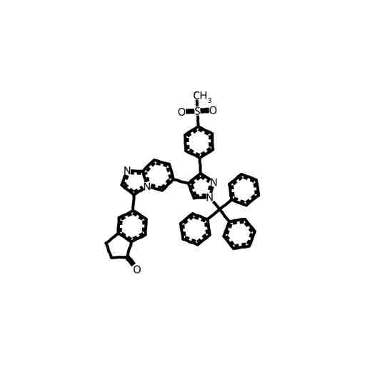 CS(=O)(=O)c1ccc(-c2nn(C(c3ccccc3)(c3ccccc3)c3ccccc3)cc2-c2ccc3ncc(-c4ccc5c(c4)CCC5=O)n3c2)cc1